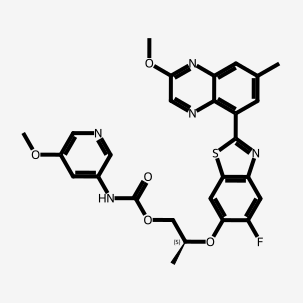 COc1cncc(NC(=O)OC[C@H](C)Oc2cc3sc(-c4cc(C)cc5nc(OC)cnc45)nc3cc2F)c1